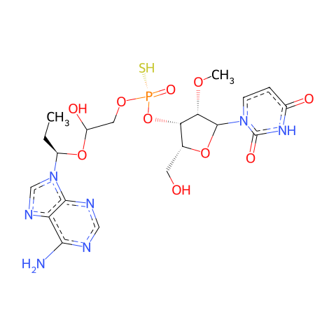 CC[C@@H](OC(O)CO[P@](=O)(S)O[C@@H]1[C@H](OC)C(n2ccc(=O)[nH]c2=O)O[C@@H]1CO)n1cnc2c(N)ncnc21